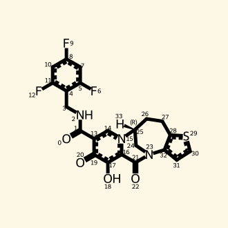 O=C(NCc1c(F)cc(F)cc1F)c1cn2c(c(O)c1=O)C(=O)N1C[C@H]2CCc2sccc21